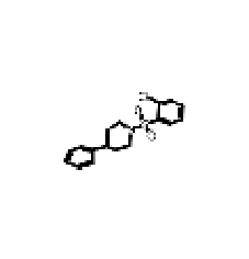 O=S(=O)(c1ccccc1Cl)N1CC=C(c2ccccc2)CC1